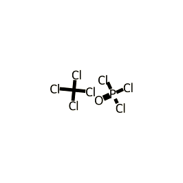 ClC(Cl)(Cl)Cl.O=P(Cl)(Cl)Cl